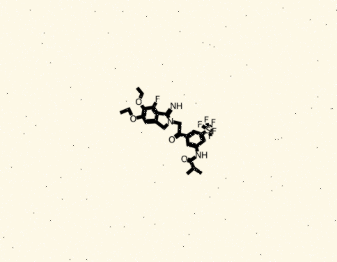 CCOc1cc2c(c(F)c1OCC)C(=N)N(CC(=O)c1cc(NC(=O)C(C)C)cc(S(F)(F)(F)(F)F)c1)C2